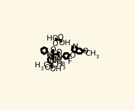 COc1ccc2c(Oc3ccc(NC(=O)c4c(C)n(C[C@@H](C)[C@](C)(N)C(=O)O)n(-c5ccccc5)c4=O)cc3F)ccnc2c1.O=C(O)C(=O)O